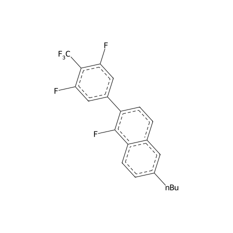 CCCCc1ccc2c(F)c(-c3cc(F)c(C(F)(F)F)c(F)c3)ccc2c1